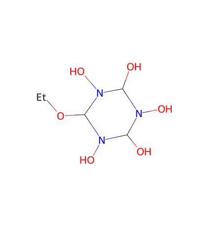 CCOC1N(O)C(O)N(O)C(O)N1O